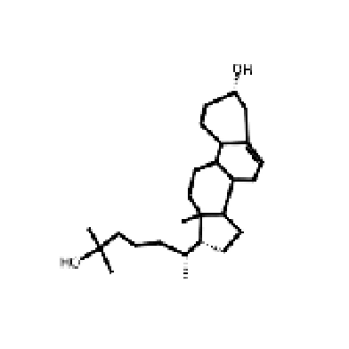 C[C@H](CCCC(C)(C)O)[C@H]1CCC2C3CC=C4C[C@@H](O)CCC4C3CCC21C